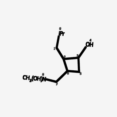 CC(C)CC1C(O)CC1CN(C)O